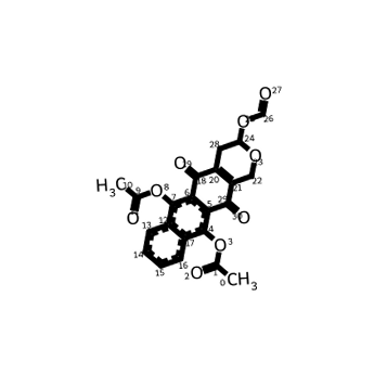 CC(=O)Oc1c2c(c(OC(C)=O)c3ccccc13)C(=O)C1=C(COC(OC=O)C1)C2=O